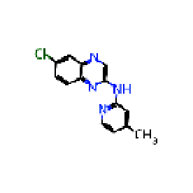 Cc1ccnc(Nc2cnc3cc(Cl)ccc3n2)c1